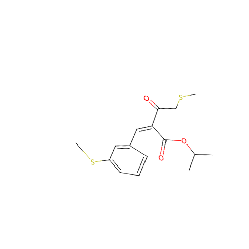 CSCC(=O)C(=Cc1cccc(SC)c1)C(=O)OC(C)C